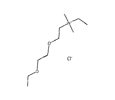 CCOCCOCC[N+](C)(C)CC.[Cl-]